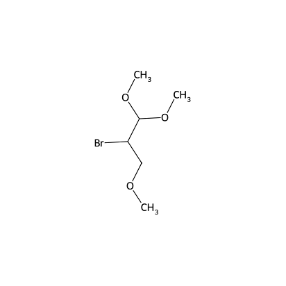 COCC(Br)C(OC)OC